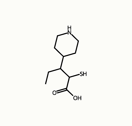 CCC(C1CCNCC1)C(S)C(=O)O